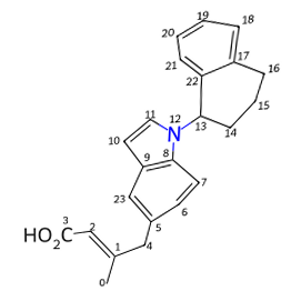 CC(=CC(=O)O)Cc1ccc2c(ccn2C2CCCc3ccccc32)c1